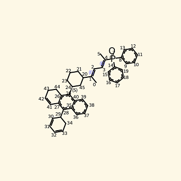 C/C(=C\C=C(/C)P(=O)(c1ccccc1)c1ccccc1)C1CCC[C@H](c2c3c(c(C4C=CC=CC4)c4ccccc24)C=CCC3)C1